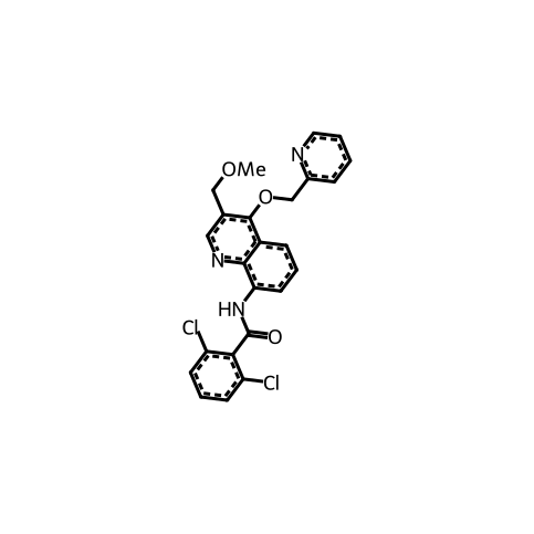 COCc1cnc2c(NC(=O)c3c(Cl)cccc3Cl)cccc2c1OCc1ccccn1